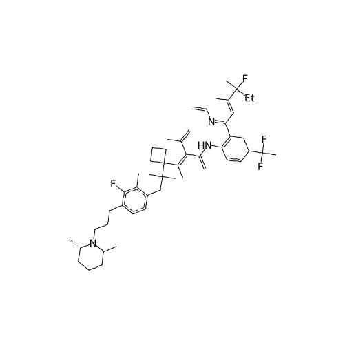 C=C/N=C(\C=C(/C)C(C)(F)CC)C1=C(NC(=C)/C(C(=C)C)=C(\C)C2(C(C)(C)Cc3ccc(CCCN4C(C)CCC[C@@H]4C)c(F)c3C)CCC2)C=CC(C(C)(F)F)C1